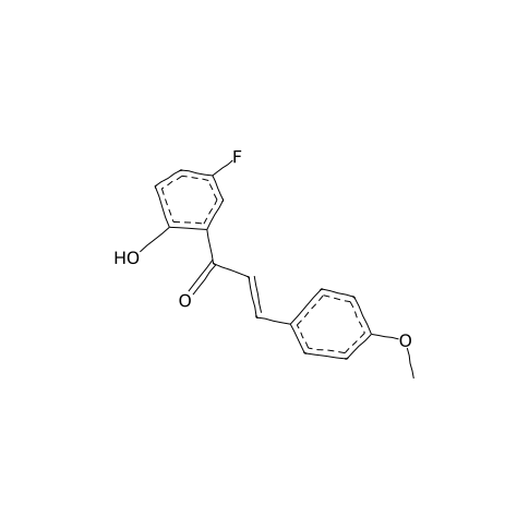 COc1ccc(/C=C/C(=O)c2cc(F)ccc2O)cc1